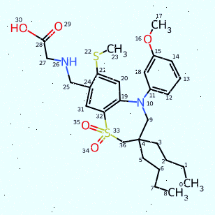 CCCCC1(CCCC)CN(c2cccc(OC)c2)c2cc(SC)c(CNCC(=O)O)cc2S(=O)(=O)C1